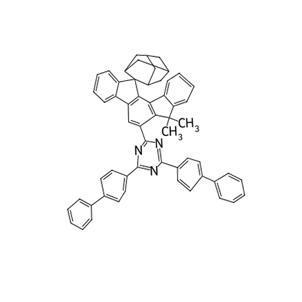 CC1(C)c2ccccc2-c2c1c(-c1nc(-c3ccc(-c4ccccc4)cc3)nc(-c3ccc(-c4ccccc4)cc3)n1)cc1c2C2(c3ccccc3-1)C1CC3CC(C1)CC2C3